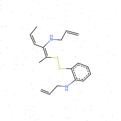 C=CCNC(/C=C\C)=C(/C)SSc1ccccc1NCC=C